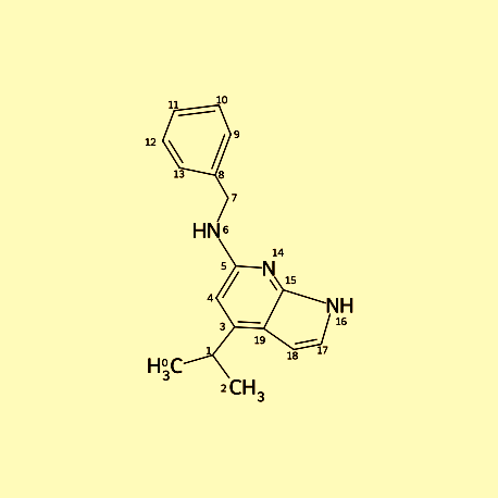 CC(C)c1cc(NCc2ccccc2)nc2[nH]ccc12